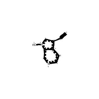 C#Cc1cn(O)c2cnccc12